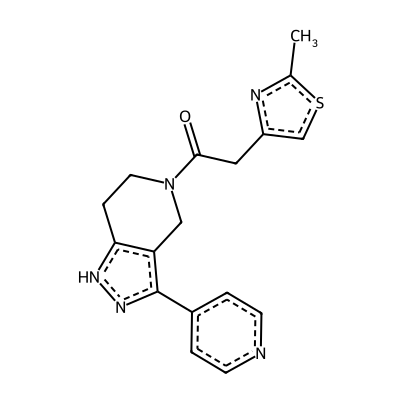 Cc1nc(CC(=O)N2CCc3[nH]nc(-c4ccncc4)c3C2)cs1